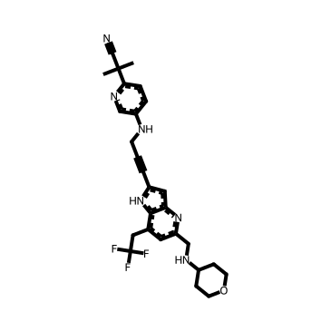 CC(C)(C#N)c1ccc(NCC#Cc2cc3nc(CNC4CCOCC4)cc(CC(F)(F)F)c3[nH]2)cn1